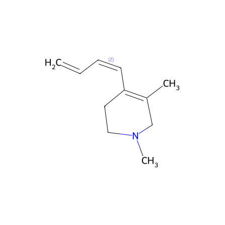 C=C/C=C\C1=C(C)CN(C)CC1